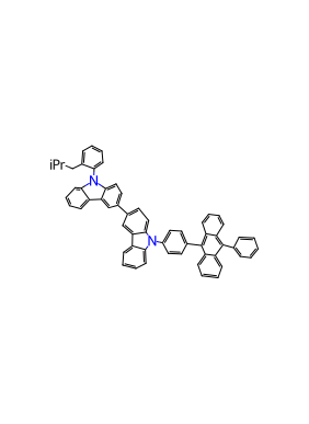 CC(C)Cc1ccccc1-n1c2ccccc2c2cc(-c3ccc4c(c3)c3ccccc3n4-c3ccc(-c4c5ccccc5c(-c5ccccc5)c5ccccc45)cc3)ccc21